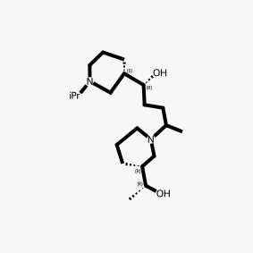 CC(C)N1CCC[C@H]([C@H](O)CCC(C)N2CCC[C@@H]([C@@H](C)O)C2)C1